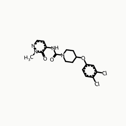 Cn1nccc(NC(=O)N2CCC(Oc3ccc(Cl)c(Cl)c3)CC2)c1=O